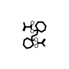 C=C(C)C(=O)OC1(CCC2(OC(=O)C(=C)C)CCCCCC2)CCCCCC1